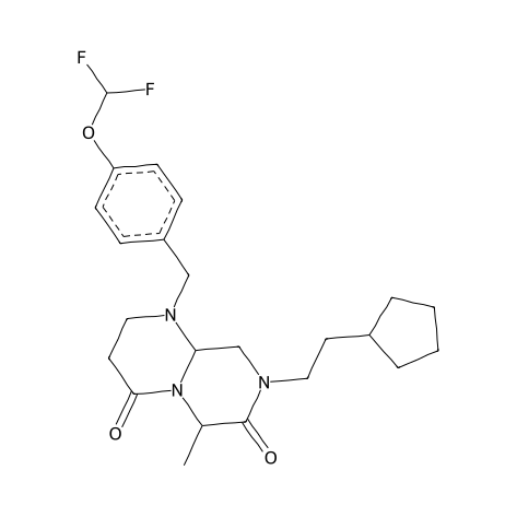 CC1C(=O)N(CCC2CCCC2)CC2N(Cc3ccc(OC(F)F)cc3)CCC(=O)N12